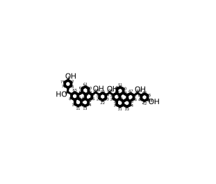 Oc1ccc(C(O)c2cc3ccc4ccc5cc(C(O)c6cccc(C(O)c7cc8ccc9ccc%10cc(C(O)c%11ccc(O)cc%11)cc%11c%12cccc7c%12c8c9c%10%11)c6)c6cccc7c(c2)c3c4c5c67)cc1